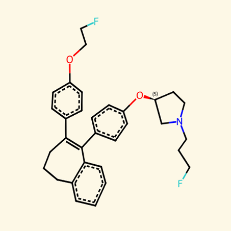 FCCCN1CC[C@H](Oc2ccc(C3=C(c4ccc(OCCF)cc4)CCCc4ccccc43)cc2)C1